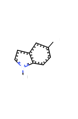 Cc1[c]cc2c(ccn2C)c1